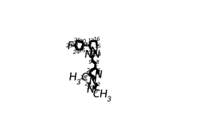 Cc1cn(-c2ncc(/C=C/c3nc4n(n3)CCC[C@@H]4c3ccc(F)cc3)cc2C)cn1